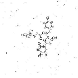 CCN(CC)CCC(=O)OC(Cc1ccc(Cl)cc1)[C@H]1O[C@@H](n2cc(F)c(=O)[nH]c2=O)C[C@@H]1O.Cl